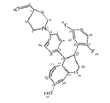 O=CC1CCN(c2ccc(C3c4ccc(O)cc4OCC3c3cc(F)ccc3F)cc2)CC1